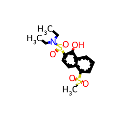 CCN(CC)S(=O)(=O)c1ccc2c(S(C)(=O)=O)cccc2c1O